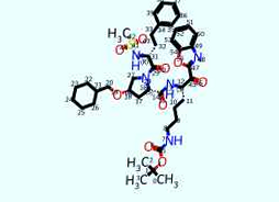 CC(C)(C)OC(=O)NCCCC[C@H](NC(=O)[C@@H]1C[C@@H](OCC2CCCCC2)CN1C(=O)[C@@H](CCc1ccccc1)NS(C)(=O)=O)C(=O)c1nc2ccccc2o1